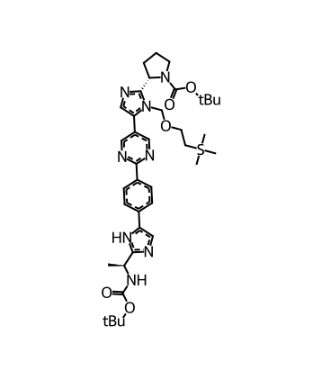 C[C@H](NC(=O)OC(C)(C)C)c1ncc(-c2ccc(-c3ncc(-c4cnc([C@@H]5CCCN5C(=O)OC(C)(C)C)n4COCCS(C)(C)C)cn3)cc2)[nH]1